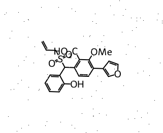 C=CCS(=O)(=O)C(c1ccccc1O)c1ccc(-c2ccoc2)c(OC)c1C(=O)O